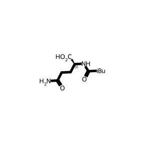 CCC(C)C(=O)N[C@@H](CCC(N)=O)C(=O)O